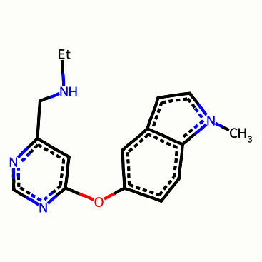 CCNCc1cc(Oc2ccc3c(ccn3C)c2)ncn1